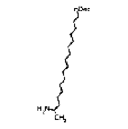 CCCCCCCCCCCCCCCCCCCCCCCCC[C@H](C)N